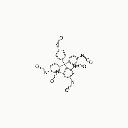 O=C=Nc1ccc(C(c2ccc(N=C=O)cc2)(c2ccc(N=C=O)cc2)c2c(N=C=O)cc(N=C=O)cc2N=C=O)cc1